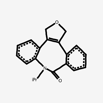 CC(C)N1C(=O)c2ccccc2C2=C(COC2)c2ccccc21